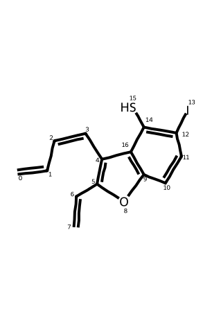 C=C/C=C\c1c(C=C)oc2ccc(I)c(S)c12